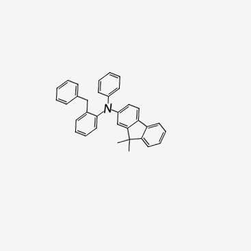 CC1(C)c2ccccc2-c2ccc(N(c3ccccc3)c3ccccc3Cc3ccccc3)cc21